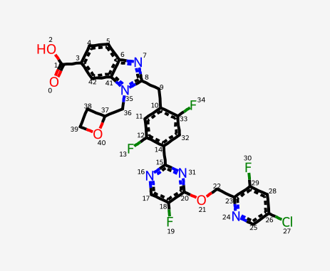 O=C(O)c1ccc2nc(Cc3cc(F)c(-c4ncc(F)c(OCc5ncc(Cl)cc5F)n4)cc3F)n(CC3CCO3)c2c1